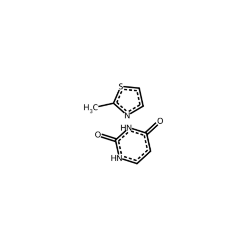 Cc1nccs1.O=c1cc[nH]c(=O)[nH]1